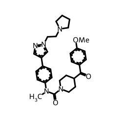 COc1ccc(C(=O)C2CCN(C(=O)N(C)c3ccc(-c4cnn(CCN5CCCC5)c4)cc3)CC2)cc1